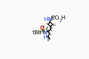 C=CC[C@@](C)(CC1CC(NC(=O)O)C1)N[S@+]([O-])C(C)(C)C